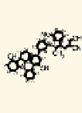 C=C/C(C#N)=C\c1c(C)n(-c2cccc(-c3ccc(-c4ccccc4N4C5=C(C(C)CCC5)C5C=CC=CC54)c(C#N)c3)c2)c2c(C#N)cccc12